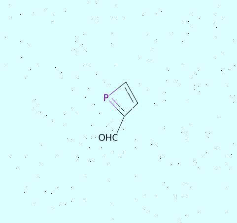 O=CC1=PC=C1